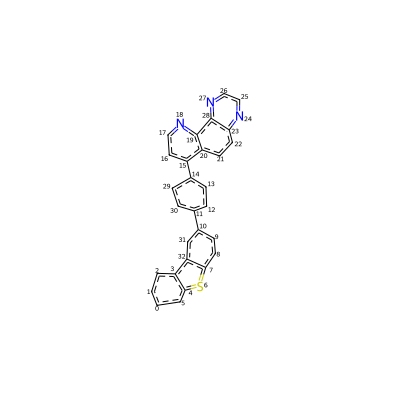 c1ccc2c(c1)sc1ccc(-c3ccc(-c4ccnc5c4ccc4nccnc45)cc3)cc12